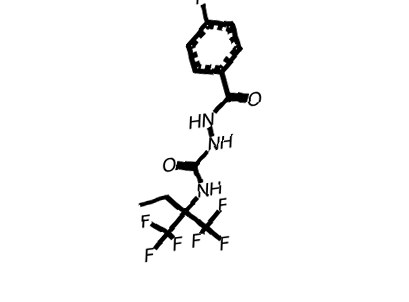 CCC(NC(=O)NNC(=O)c1ccc(F)cc1)(C(F)(F)F)C(F)(F)F